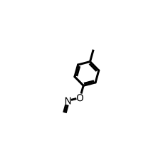 C=NOc1ccc(C)cc1